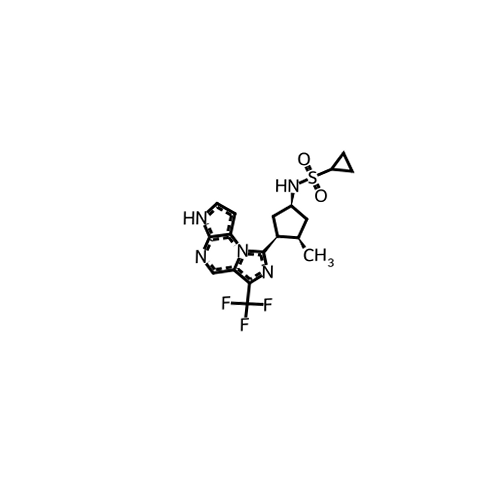 C[C@@H]1C[C@H](NS(=O)(=O)C2CC2)C[C@@H]1c1nc(C(F)(F)F)c2cnc3[nH]ccc3n12